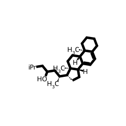 CC(C)CC(O)C[C@@H](C)[C@H]1CC[C@H]2C3=CC=C4CCCC[C@]4(C)[C@H]3CC[C@]12C